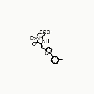 CC[N+]1(CC(=O)[O-])C(=O)C(=Cc2ccc(-c3cccc(I)c3)o2)NC1=S